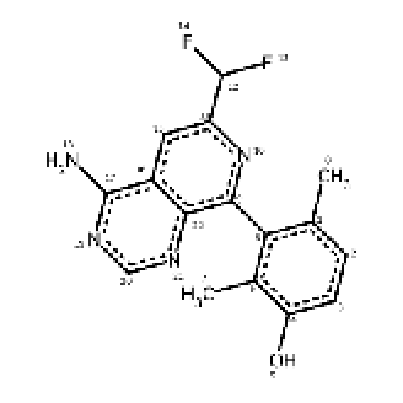 Cc1ccc(O)c(C)c1-c1nc(C(F)F)cc2c(N)ncnc12